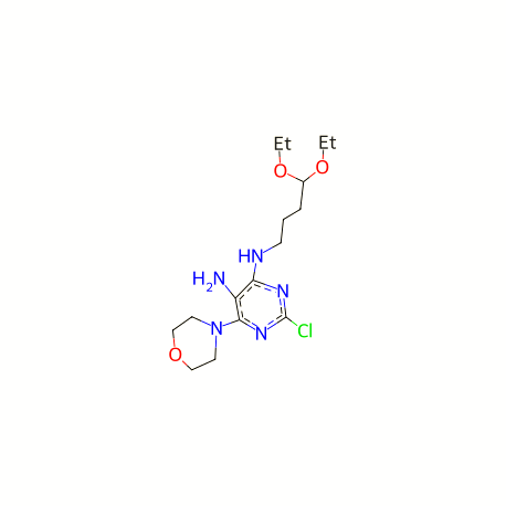 CCOC(CCCNc1nc(Cl)nc(N2CCOCC2)c1N)OCC